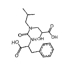 CC(C)CN(CC(O)C(=O)O)C(=O)NC(Cc1ccccc1)C(=O)O